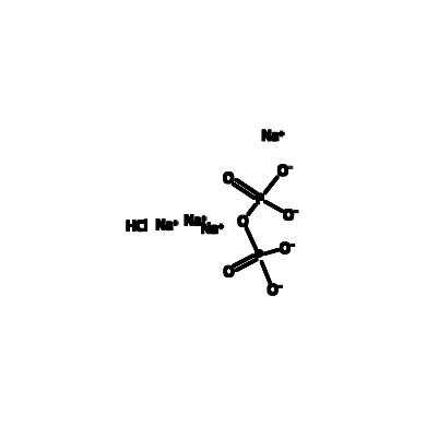 Cl.O=P([O-])([O-])OP(=O)([O-])[O-].[Na+].[Na+].[Na+].[Na+]